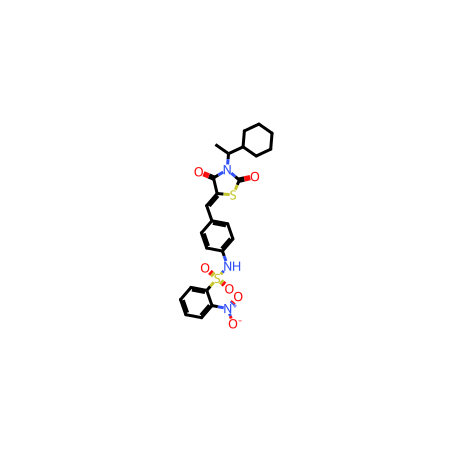 CC(C1CCCCC1)N1C(=O)S/C(=C\c2ccc(NS(=O)(=O)c3ccccc3[N+](=O)[O-])cc2)C1=O